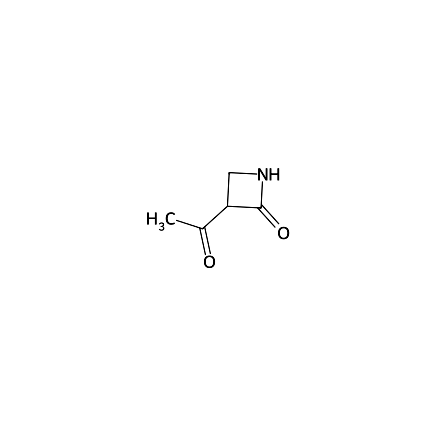 CC(=O)C1CNC1=O